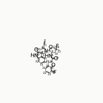 C#C[C@@H]1C[C@@]2(CN1C(=O)C(CC(C)(C)F)NC(=O)C1Cc3cccc(F)c3O1)C(=O)Nc1ccccc12